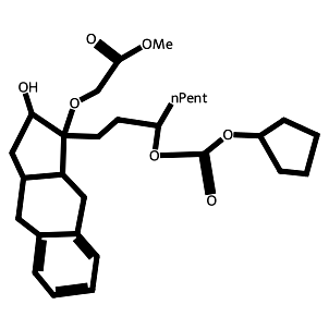 CCCCCC(CCC1(OCC(=O)OC)C(O)CC2Cc3ccccc3CC21)OC(=O)OC1CCCC1